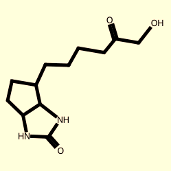 O=C(CO)CCCCC1CCC2NC(=O)NC12